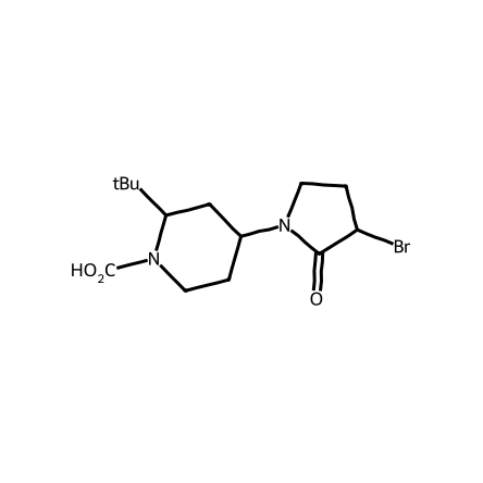 CC(C)(C)C1CC(N2CCC(Br)C2=O)CCN1C(=O)O